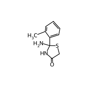 Cc1ccccc1C1(N)NC(=O)CS1